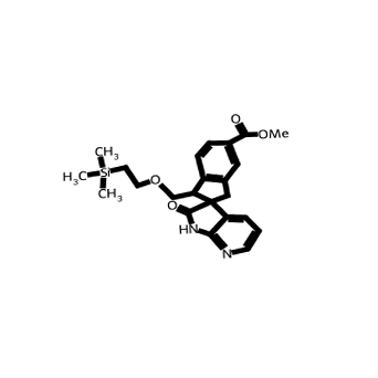 COC(=O)c1ccc2c(c1)CC1(C(=O)Nc3ncccc31)C2COCC[Si](C)(C)C